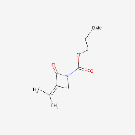 COCCOC(=O)N1CC(=C(C)C)C1=O